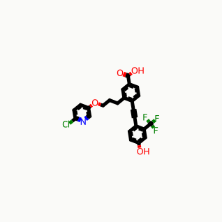 O=C(O)c1ccc(C#Cc2ccc(O)cc2C(F)(F)F)c(CCCOc2ccc(Cl)nc2)c1